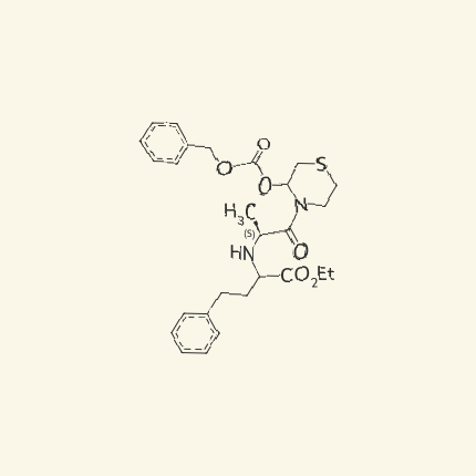 CCOC(=O)C(CCc1ccccc1)N[C@@H](C)C(=O)N1CCSCC1OC(=O)OCc1ccccc1